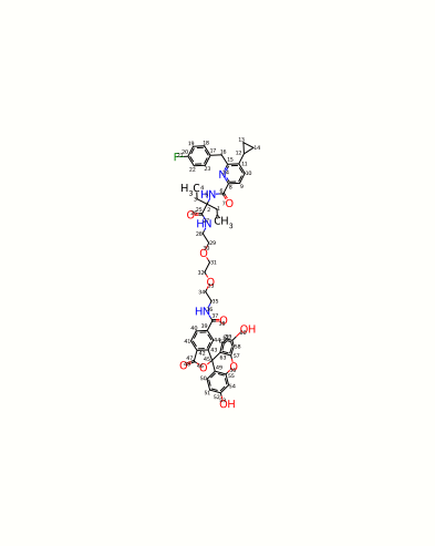 CCC(CC)(NC(=O)c1ccc(C2CC2)c(Cc2ccc(F)cc2)n1)C(=O)NCCOCCOCCNC(=O)c1ccc2c(c1)C1(OC2=O)c2ccc(O)cc2Oc2cc(O)ccc21